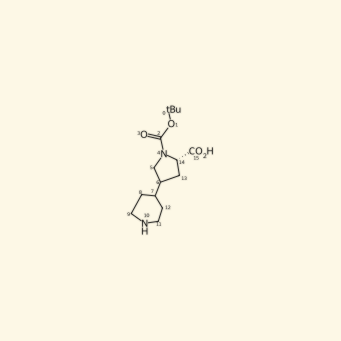 CC(C)(C)OC(=O)N1CC(C2CCNCC2)C[C@H]1C(=O)O